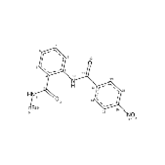 [CH2]CC[CH]NC(=O)c1ccccc1NC(=O)c1ccc([N+](=O)[O-])cc1